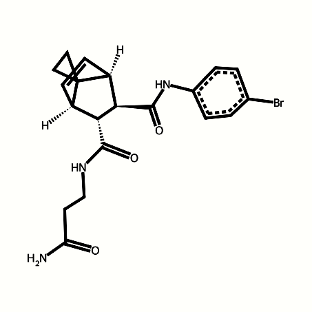 NC(=O)CCNC(=O)[C@H]1[C@H](C(=O)Nc2ccc(Br)cc2)[C@@H]2C=C[C@H]1C21CC1